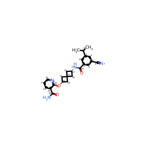 CC(C)c1cc(C#N)cc(C(=O)N[C@H]2CC3(C2)C[C@H](Oc2ncccc2C(N)=O)C3)c1